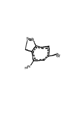 CCCc1cc(Br)cc2c1CN=B2